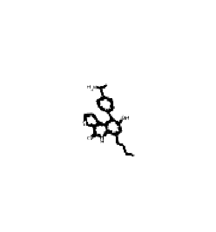 CCCCc1cc(O)c(-c2ccc(C(C)N)cc2)c2c1[nH]c(=O)c1sccc12